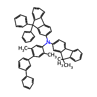 Cc1cc(N(c2ccc3c(c2)C(C)(C)c2ccccc2-3)c2ccc3c(c2)C(c2ccccc2)(c2ccccc2)c2ccccc2-3)c(C)cc1-c1cccc(-c2ccccc2)c1